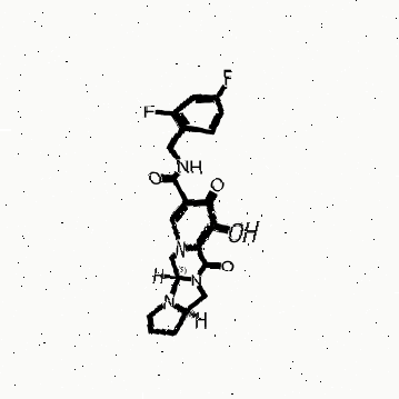 O=C(NCc1ccc(F)cc1F)c1cn2c(c(O)c1=O)C(=O)N1C[C@H]3CCCN3[C@@H]1C2